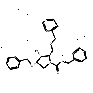 O=C(OCc1ccccc1)N1C[C@H](OCc2ccccc2)[C@H](O)[C@H]1COCc1ccccc1